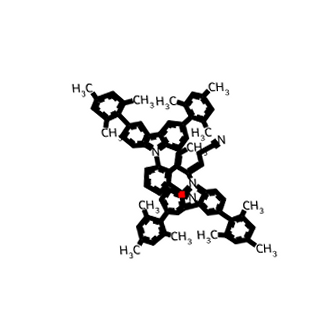 C/C=C(\C(=C/CC#N)n1c2ccc(-c3c(C)cc(C)cc3C)cc2c2cc(-c3c(C)cc(C)cc3C)ccc21)c1c(C#N)cccc1-n1c2ccc(-c3c(C)cc(C)cc3C)cc2c2cc(-c3c(C)cc(C)cc3C)ccc21